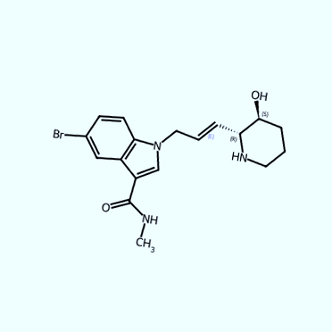 CNC(=O)c1cn(C/C=C/[C@H]2NCCC[C@@H]2O)c2ccc(Br)cc12